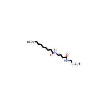 CCCCCCCCCCCCCCCCCC(=O)NCCCC(=O)NCC(=O)O